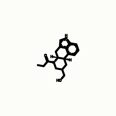 CCC(=O)N1CC(CO)C[C@H]2c3cccc4[nH]cc(c34)C[C@@H]21